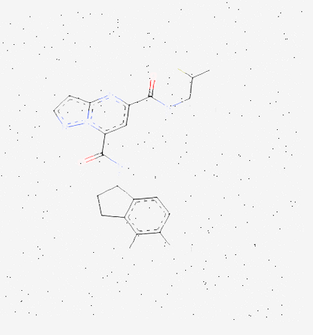 Cc1c(C(=O)O)ccc2c1CC[C@@H]2NC(=O)c1cc(C(=O)N[C@@H](C)C(C)S)nc2ccnn12